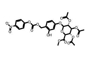 COC(=O)C1OC(Oc2ccc(COC(=O)Oc3ccc([N+](=O)[O-])cc3)c(O)c2)[C@H](OC(C)=O)C(OC(C)=O)[C@@H]1OC(C)=O